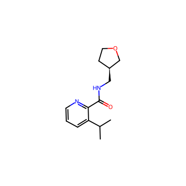 CC(C)c1cccnc1C(=O)NC[C@H]1CCOC1